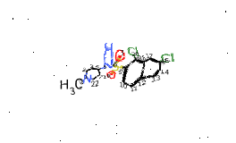 CN1CCC(NS(=O)(=O)c2ccc3ccc(Cl)cc3c2Cl)CC1